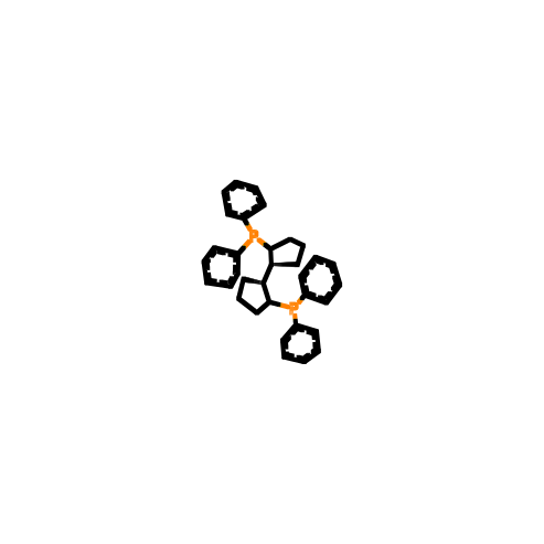 c1ccc(P(c2ccccc2)C2CCC[C@H]2[C@@H]2CCCC2P(c2ccccc2)c2ccccc2)cc1